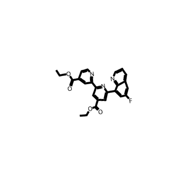 CCOC(=O)c1ccnc(-c2cc(C(=O)OCC)cc(-c3cc(F)cc4cccnc34)n2)c1